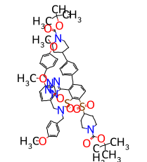 COc1ccc(CN(Cc2ccc(OC)cc2)S(=O)(=O)c2c(S(=O)(=O)C3CCN(C(=O)OC(C)(C)C)CC3)ccc(-c3ccc(C4CCN(C(=O)OC(C)(C)C)CC4)cc3)c2-c2nnn(Cc3ccc(OC)cc3)n2)cc1